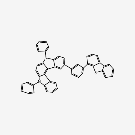 c1ccc(-n2c3ccccc3c3c4c5cc(-c6cccc(-c7cccc8c7sc7ccccc78)c6)ccc5n(-c5ccccc5)c4ccc32)cc1